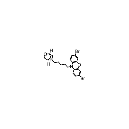 Brc1ccc2c(c1)Oc1cc(Br)ccc1N2CCCCCN1C[C@H]2C[C@@H]1CO2